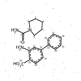 NC(=O)N1CCCCC1.Nc1cc(-c2ccccc2)ccc1C(=O)O